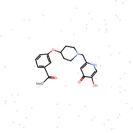 COC(=O)c1cccc(OC2CCN(Cc3cc(=O)c(O)c[nH]3)CC2)c1